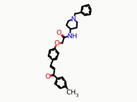 Cc1ccc(C(=O)C=Cc2ccc(OCC(=O)NC3CCN(Cc4ccccc4)CC3)cc2)cc1